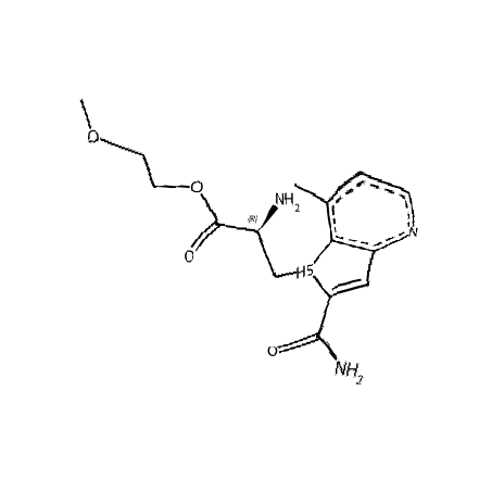 COCCOC(=O)[C@@H](N)C[SH]1C(C(N)=O)=Cc2nccc(C)c21